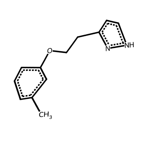 Cc1cccc(OCCc2cc[nH]n2)c1